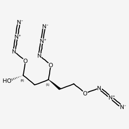 [N-]=[N+]=NOCC[C@@H](C[C@H](O)ON=[N+]=[N-])ON=[N+]=[N-]